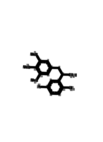 COc1cc(CC(C(=O)O)c2cc(C(C)C)ccc2C)cc(OC)c1OC